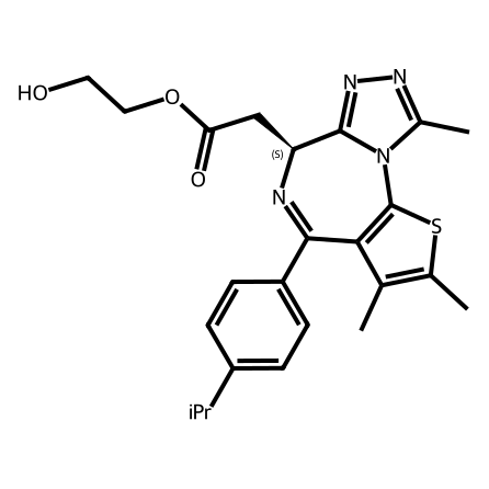 Cc1sc2c(c1C)C(c1ccc(C(C)C)cc1)=N[C@@H](CC(=O)OCCO)c1nnc(C)n1-2